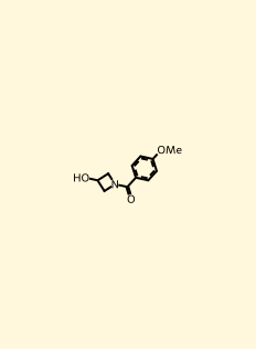 COc1ccc(C(=O)N2CC(O)C2)cc1